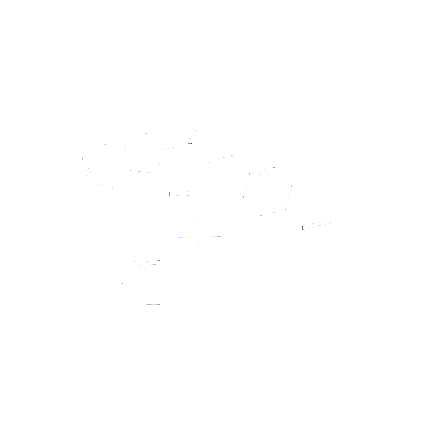 CCS(=O)(=O)N(CC(=O)n1c(C(=O)NCc2ccc(C(=N)N)cc2)cc2ccccc21)c1ccccc1